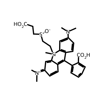 CN(C)c1ccc2c(c1)[Si](C)(CC[S+]([O-])CCC(=O)O)C1=CC(=[N+](C)C)C=CC1=C2c1ccccc1C(=O)O